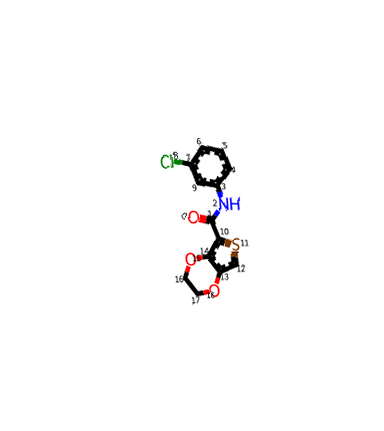 O=C(Nc1cccc(Cl)c1)c1scc2c1OCCO2